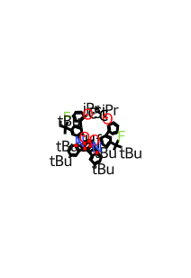 CC(C)[Si]1(C(C)C)COc2ccc(F)cc2-c2cc(C(C)(C)CC(C)(C)C)cc(-n3c4ccc(C(C)(C)C)cc4c4cc(C(C)(C)C)ccc43)c2[O][Hf]([CH3])([CH3])[O]c2c(cc(C(C)(C)CC(C)(C)C)cc2-n2c3ccc(C(C)(C)C)cc3c3cc(C(C)(C)C)ccc32)-c2cc(F)ccc2OC1